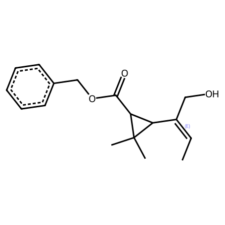 C/C=C(/CO)C1C(C(=O)OCc2ccccc2)C1(C)C